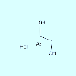 Cl.OCCO.[Al]